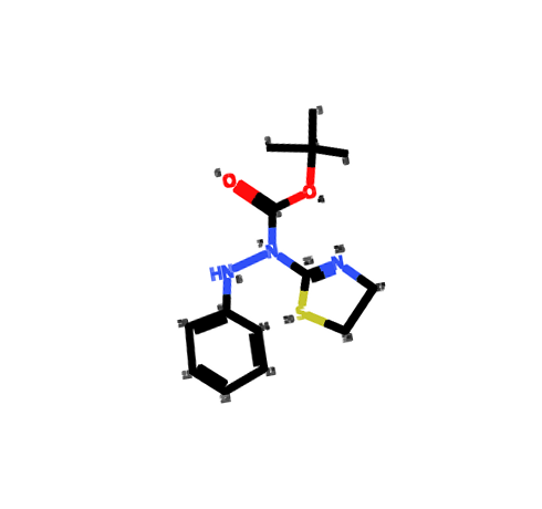 CC(C)(C)OC(=O)N(Nc1ccccc1)C1=NCCS1